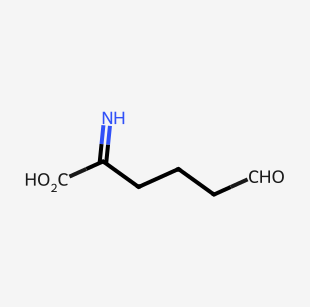 N=C(CCCC=O)C(=O)O